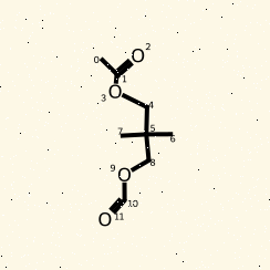 CC(=O)OCC(C)(C)COC=O